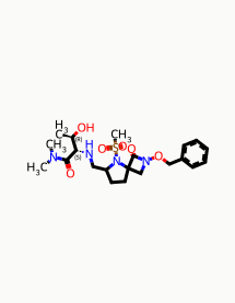 C[C@@H](O)[C@H](NCC1CCC2(CN(OCc3ccccc3)C2=O)N1S(C)(=O)=O)C(=O)N(C)C